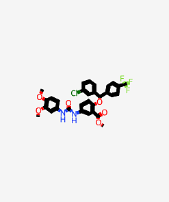 COC(=O)c1cc(NC(=O)Nc2ccc(OC)c(OC)c2)ccc1OC(c1ccc(C(F)(F)F)cc1)c1cccc(Cl)c1